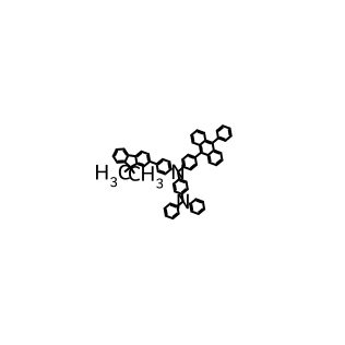 CC1(C)c2ccccc2-c2ccc(-c3ccc(N(c4ccc(-c5c6ccccc6c(-c6ccccc6)c6ccccc56)cc4)c4ccc(N(c5ccccc5)c5ccccc5)cc4)cc3)cc21